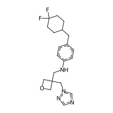 FC1(F)CCC(Cc2ccc(NCC3(Cn4cncn4)COC3)cc2)CC1